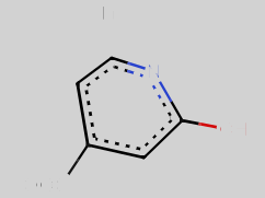 O=C([O-])c1ccnc(O)c1.[Li+]